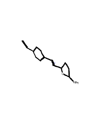 C=CC1CCC(/C=C/C2CCC(CCC)O2)CC1